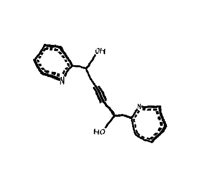 OC(C#CC(O)c1ccccn1)c1ccccn1